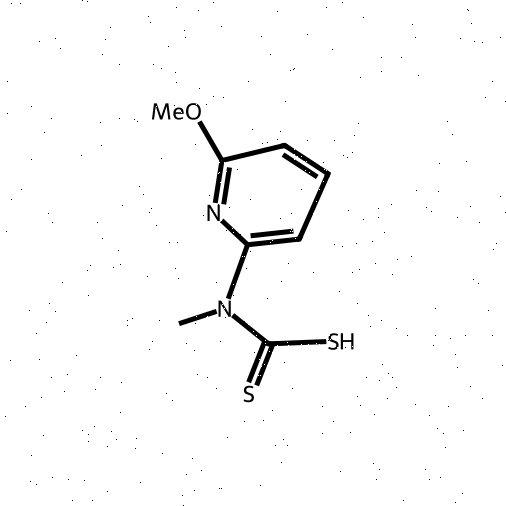 COc1cccc(N(C)C(=S)S)n1